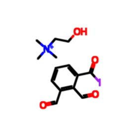 C[N+](C)(C)CCO.O=Cc1cccc(C(=O)I)c1C=O